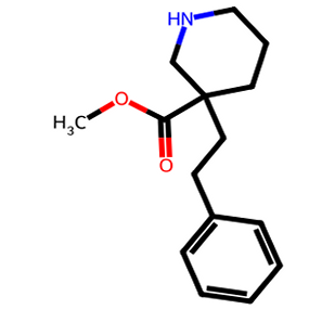 COC(=O)C1(CCc2ccccc2)CCCNC1